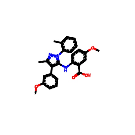 COc1cccc(-c2c(C)nn(-c3ccccc3C)c2Nc2ccc(OC)cc2C(=O)O)c1